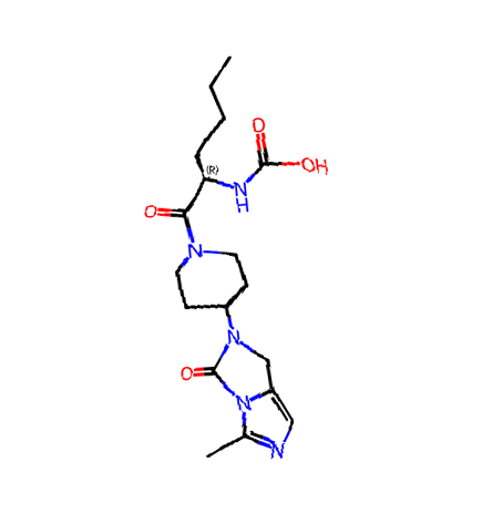 CCCC[C@@H](NC(=O)O)C(=O)N1CCC(N2Cc3cnc(C)n3C2=O)CC1